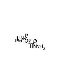 CC(C)(C)NC(=O)OCCC(=O)NN